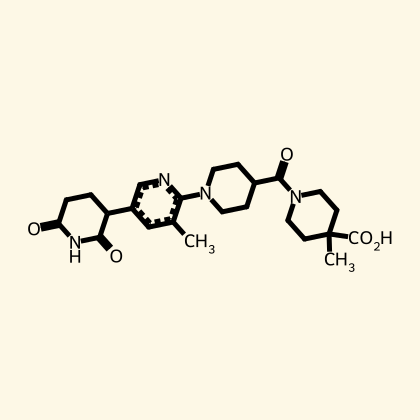 Cc1cc(C2CCC(=O)NC2=O)cnc1N1CCC(C(=O)N2CCC(C)(C(=O)O)CC2)CC1